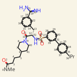 CNC(=O)CCCC1CCN(C(=O)[C@H](Cc2cccc(C(=N)N)c2)NS(=O)(=O)c2cccc(-c3ccc(C(C)C)cc3)c2)CC1